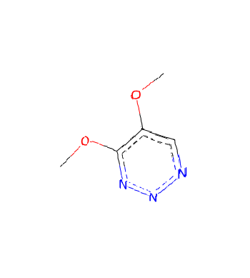 COc1cnnnc1OC